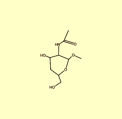 COC1OC(CO)CC(O)C1NC(C)=O